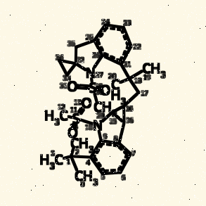 CC(C)(C)c1cccc2c1N(S(C)(=O)=O)C1C(CC(C)(C)c3cccc4c3N(S(C)(=O)=O)C3(CC3)C4)C21